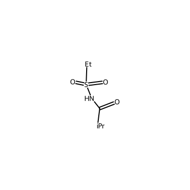 CCS(=O)(=O)NC(=O)C(C)C